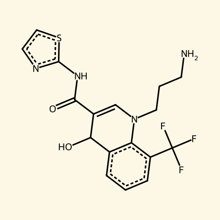 NCCCN1C=C(C(=O)Nc2nccs2)C(O)c2cccc(C(F)(F)F)c21